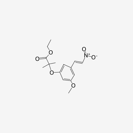 CCOC(=O)C(C)(C)Oc1cc(/C=C/[N+](=O)[O-])cc(OC)c1